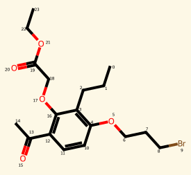 CCCc1c(OCCCBr)ccc(C(C)=O)c1OCC(=O)OCC